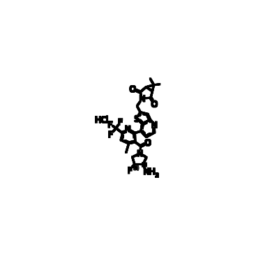 Cc1cc(C(F)(F)F)nc(-c2ccnc3cc(CN4C(=O)C5C(C4=O)C5(C)C)sc23)c1C(=O)N1C[C@@H](N)[C@@H](F)C1.Cl